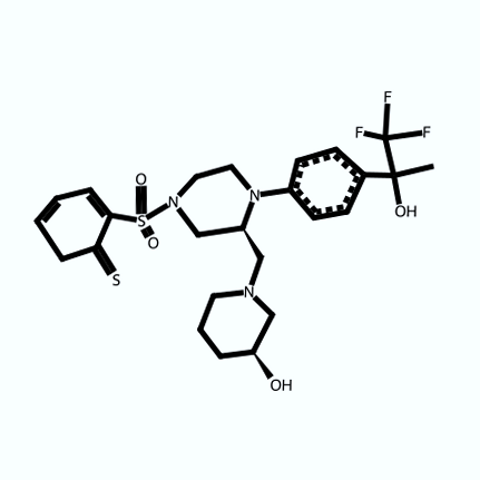 CC(O)(c1ccc(N2CCN(S(=O)(=O)C3=CC=CCC3=S)C[C@@H]2CN2CCC[C@H](O)C2)cc1)C(F)(F)F